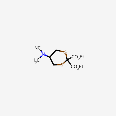 CCOC(=O)C1(C(=O)OCC)SCC(N(C)C#N)CS1